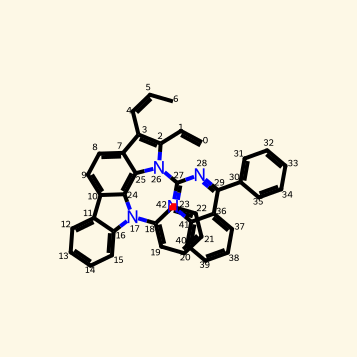 C=Cc1c(/C=C\C)c2ccc3c4ccccc4n(-c4ccccc4)c3c2n1-c1nc(-c2ccccc2)c2ccccc2n1